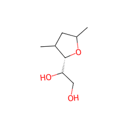 CC1CC(C)[C@@H](C(O)CO)O1